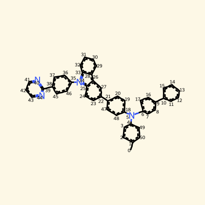 Cc1ccc(N(c2ccc(-c3ccccc3)cc2)c2ccc(-c3ccc4c(c3)c3ccccc3n4-c3ccc(-c4ncccn4)cc3)cc2)cc1